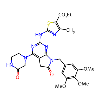 CCOC(=O)c1sc(Nc2nc(N3CCNC(=O)C3)c3c(n2)N(Cc2cc(OC)c(OC)c(OC)c2)C(=O)C3)nc1C